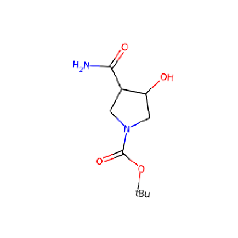 CC(C)(C)OC(=O)N1CC(O)C(C(N)=O)C1